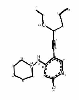 CCCC(C#Cc1cnc(Cl)nc1NN1CCCCC1)OCC